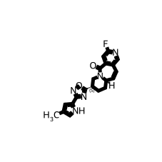 Cc1c[nH]c(-c2noc([C@H]3CC[C@@H]4C=Cc5cnc(F)cc5C(=O)N4C3)n2)c1